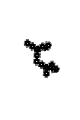 CC1(C)c2ccccc2-c2ccc(-c3nc(-c4ccc(-c5ccccc5)cc4)nc(-c4ccc(-c5cccc(-c6ccc(-c7nc(-c8ccccc8)nc(-c8cccc9c8C(C)(C)c8ccccc8-9)n7)cc6)c5)cc4)n3)cc21